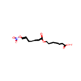 O=C(O)CCCCCOC(=O)CCCCCO[N+](=O)[O-]